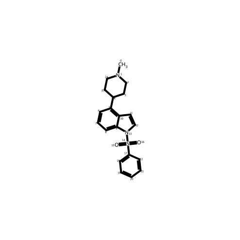 CN1CCC(c2cccc3c2ccn3S(=O)(=O)c2ccccc2)CC1